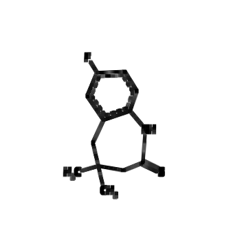 CC1(C)CC(=S)Nc2ccc(F)cc2C1